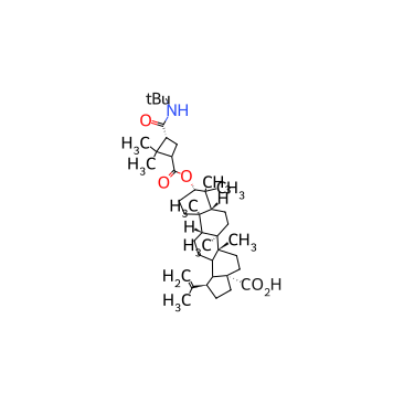 C=C(C)[C@@H]1CC[C@]2(C(=O)O)CC[C@]3(C)C(CC[C@@H]4[C@@]5(C)CC[C@H](OC(=O)C6C[C@@H](C(=O)NC(C)(C)C)C6(C)C)C(C)(C)[C@@H]5CC[C@]43C)C12